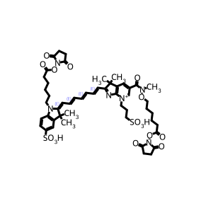 CN(OCCCCCC(=O)ON1C(=O)CCC1=O)C(=O)c1cc2c([n+](CCCS(=O)(=O)O)c1)N=C(/C=C/C=C/C=C/C=C1/N(CCCCCC(=O)ON3C(=O)CCC3=O)c3ccc(S(=O)(=O)O)cc3C1(C)C)C2(C)C